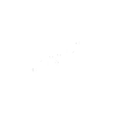 Cc1ccc(COC(=O)Oc2ccc(C)cc2)cc1